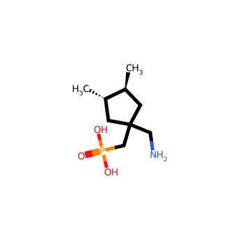 C[C@H]1CC(CN)(CP(=O)(O)O)C[C@@H]1C